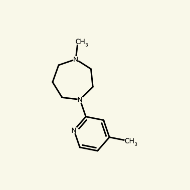 Cc1ccnc(N2CCCN(C)CC2)c1